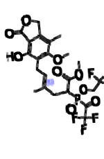 COC(=O)C(C/C(C)=C/Cc1c(O)c2c(c(C)c1OC)COC2=O)P(=O)(OCC(F)(F)F)C(=O)C(F)(F)F